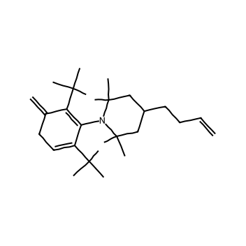 C=CCCC1CC(C)(C)N(C2=C(C(C)(C)C)C(=C)CC=C2C(C)(C)C)C(C)(C)C1